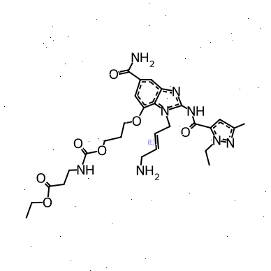 CCOC(=O)CCNC(=O)OCCCOc1cc(C(N)=O)cc2nc(NC(=O)c3cc(C)nn3CC)n(C/C=C/CN)c12